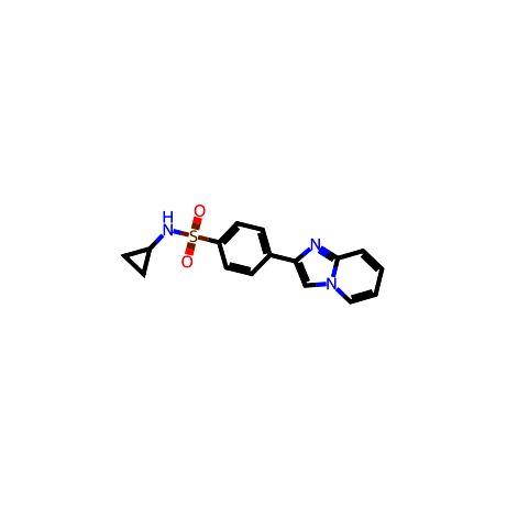 O=S(=O)(NC1CC1)c1ccc(-c2cn3ccccc3n2)cc1